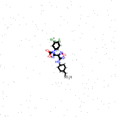 O=c1onc(-c2nonc2NC2CCC(CS(=O)(=O)O)CC2)n1-c1ccc(F)c(Br)c1